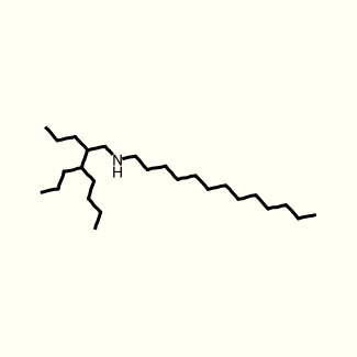 CCCCCCCCCCCCCNCC(CCC)C(CCC)CCCC